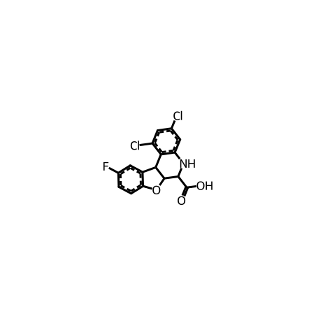 O=C(O)C1Nc2cc(Cl)cc(Cl)c2C2c3cc(F)ccc3OC12